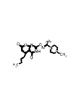 CCC/C(=N\Oc1nc2oc(=O)cc(CCCC(F)(F)F)c2c(=O)[nH]1)N1CCN(C)CC1